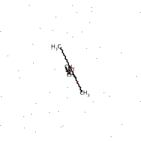 CCCCCCCCCCCCCCCCCCCCCCCCCCCCCCC.CCN1C=[N+](C)CC1.[Br-]